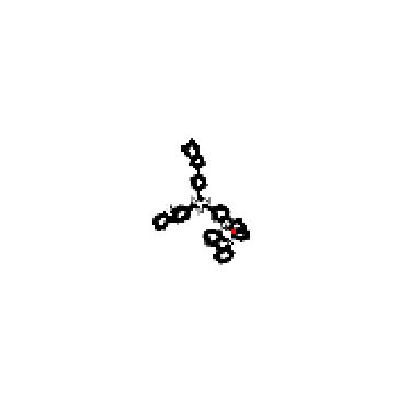 c1ccc(-n2c3ccccc3c3cccc(-n4c5ccccc5c5ccc(-c6nc(-c7ccc(-c8ccc9ccccc9c8)cc7)nc(-c7ccc8c(c7)oc7ccccc78)n6)cc54)c32)cc1